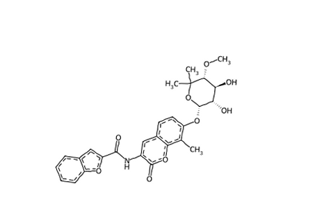 CO[C@@H]1[C@@H](O)[C@H](O)[C@H](Oc2ccc3cc(NC(=O)c4cc5ccccc5o4)c(=O)oc3c2C)OC1(C)C